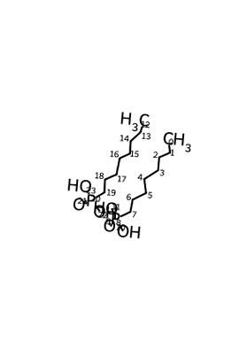 CCCCCCCCP(=O)(O)O.CCCCCCCCP(=O)(O)O